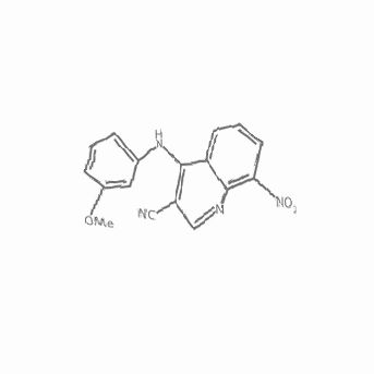 COc1cccc(Nc2c(C#N)cnc3c([N+](=O)[O-])cccc23)c1